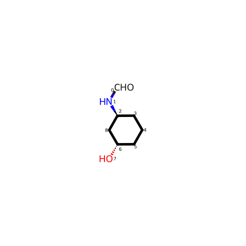 O=CN[C@H]1CCC[C@H](O)C1